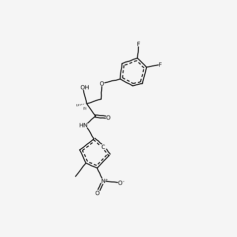 Cc1cc(NC(=O)[C@@](C)(O)COc2ccc(F)c(F)c2)ccc1[N+](=O)[O-]